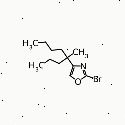 CCCCC(C)(CCC)c1coc(Br)n1